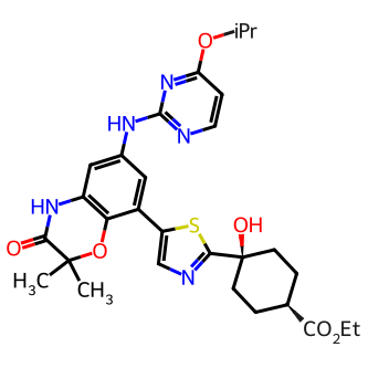 CCOC(=O)[C@H]1CC[C@](O)(c2ncc(-c3cc(Nc4nccc(OC(C)C)n4)cc4c3OC(C)(C)C(=O)N4)s2)CC1